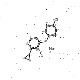 Clc1cnc(Sc2ccnc(C3CC3)c2Cl)cn1.[Na]